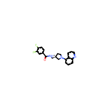 O=C(NC[C@H]1CCN(c2cccc3ncccc23)C1)c1ccc(F)c(F)c1